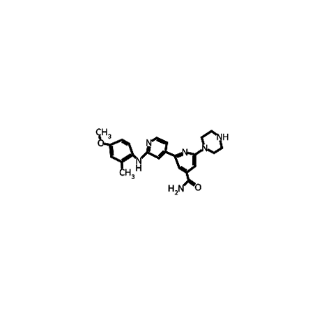 COc1ccc(Nc2cc(-c3cc(C(N)=O)cc(N4CCNCC4)n3)ccn2)c(C)c1